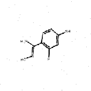 N/C(=N\O)c1ccc(S)cc1F